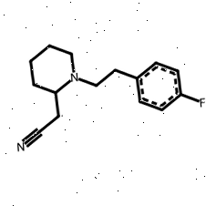 N#C[CH]C1CCCCN1CCc1ccc(F)cc1